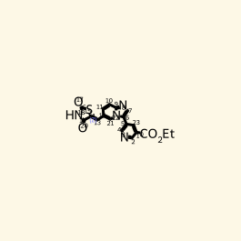 CCOC(=O)c1cncc(-c2cnc3ccc(/C=C4\SC(=O)NC4=O)cn23)c1